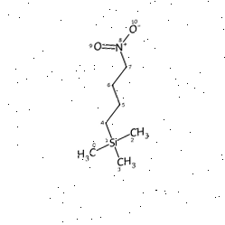 C[Si](C)(C)CCCC[N+](=O)[O-]